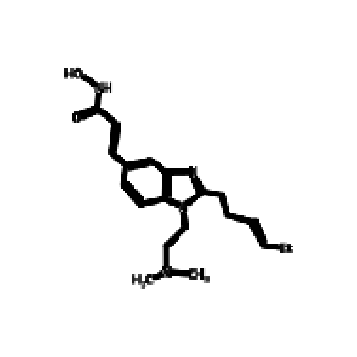 CCC=CCCc1nc2cc(C=CC(=O)NO)ccc2n1CCN(C)C